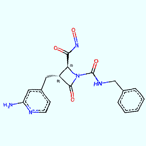 Nc1cc(C[C@H]2C(=O)N(C(=O)NCc3ccccc3)[C@@H]2C(=O)N=O)ccn1